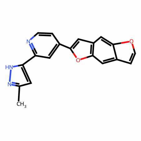 Cc1cc(-c2cc(-c3cc4cc5occc5cc4o3)ccn2)[nH]n1